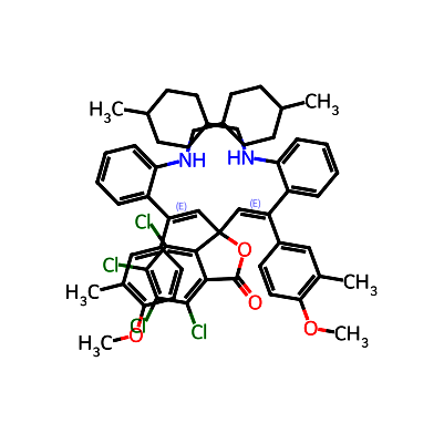 COc1ccc(/C(=C\C2(/C=C(\c3ccc(OC)c(C)c3)c3ccccc3NCC3CCC(C)CC3)OC(=O)c3c(Cl)c(Cl)c(Cl)c(Cl)c32)c2ccccc2NCC2CCC(C)CC2)cc1C